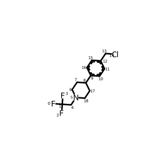 FC(F)(F)CN1CCC(c2ccc(CCl)cc2)CC1